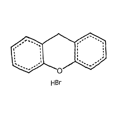 Br.c1ccc2c(c1)Cc1ccccc1O2